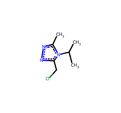 Cc1nnc(CCl)n1C(C)C